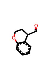 O=CC1CCOc2ccccc21